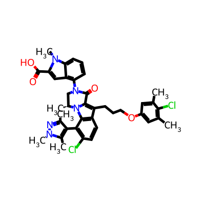 Cc1cc(OCCCc2c3n(c4c(-c5c(C)nn(C)c5C)c(Cl)ccc24)[C@H](C)CN(c2cccc4c2cc(C(=O)O)n4C)C3=O)cc(C)c1Cl